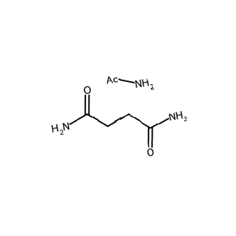 CC(N)=O.NC(=O)CCC(N)=O